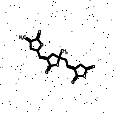 C=C1CC(/C=C2\CC(C)(C/C=C3\CC(=O)OC3=O)OC2=O)OC1=O